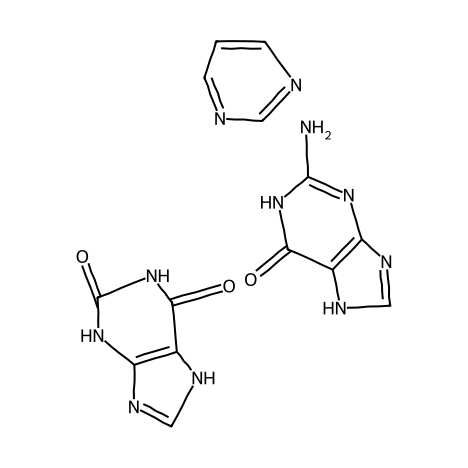 Nc1nc2nc[nH]c2c(=O)[nH]1.O=c1[nH]c(=O)c2[nH]cnc2[nH]1.c1cncnc1